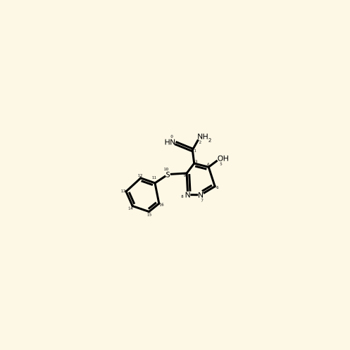 N=C(N)c1c(O)cnnc1Sc1ccccc1